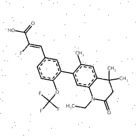 CCN1C(=O)CC(C)(C)c2cc(C)c(-c3cc(/C=C(\F)C(=O)O)ccc3OC(F)(F)F)cc21